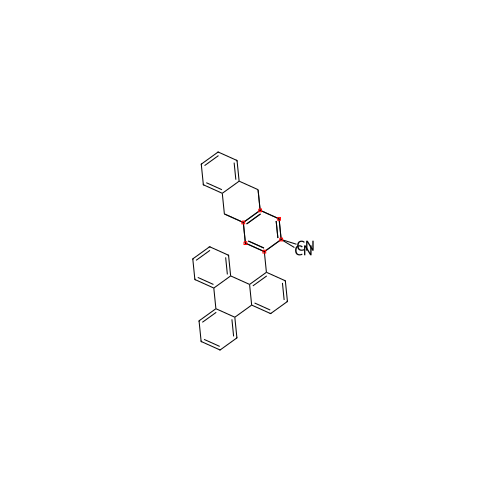 N#Cc1ccc2c(c1)C1c3ccccc3C2c2cc(-c3cccc4c5ccccc5c5ccccc5c34)c(C#N)cc21